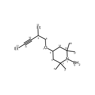 BN1C(C)(C)CC(OCC(C#CCC)CC)CC1(C)C